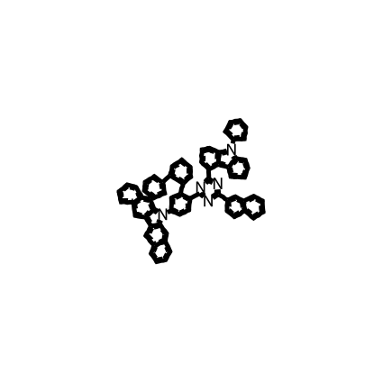 c1ccc(-c2ccccc2-c2cc(-n3c4cc5ccccc5cc4c4cc5ccccc5cc43)ccc2-c2nc(-c3ccc4ccccc4c3)nc(-c3cccc4c3c3ccccc3n4-c3ccccc3)n2)cc1